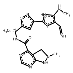 CNc1[nH]c(-c2cc([C@@H](C)NC(=O)c3ncnc4c3CN(C)N4)on2)nc1C=N